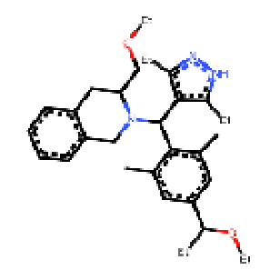 CCOCC1Cc2ccccc2CN1C(c1c(C)cc(C(CC)OCC)cc1C)c1c(CC)n[nH]c1CC